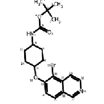 CC(C)(C)OC(=O)NC1CCC(Oc2ccc3cnccc3c2Br)CC1